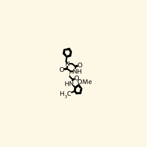 COc1cccc(C)c1NC(=O)C[C@H]1NC(=O)CN(Cc2ccccc2)C1=O